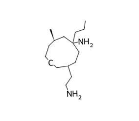 CCCC1(N)CCC(CCN)CCCC[C@@H](C)C1